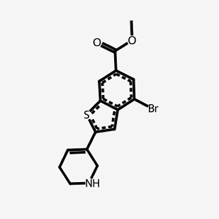 COC(=O)c1cc(Br)c2cc(C3=CCCNC3)sc2c1